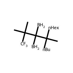 BC(B)(C(C)(CCCC)CCCCCC)C(C)(C)C(F)(F)F